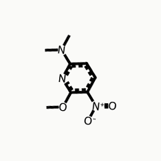 COc1nc(N(C)C)ccc1[N+](=O)[O-]